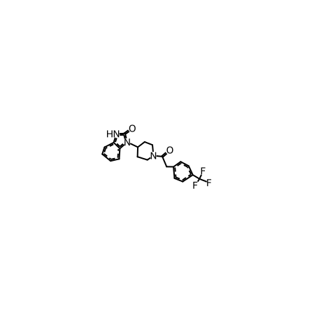 O=C(Cc1ccc(C(F)(F)F)cc1)N1CCC(n2c(=O)[nH]c3ccccc32)CC1